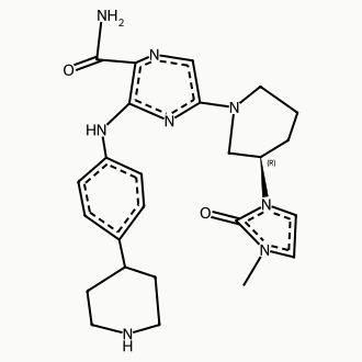 Cn1ccn([C@@H]2CCCN(c3cnc(C(N)=O)c(Nc4ccc(C5CCNCC5)cc4)n3)C2)c1=O